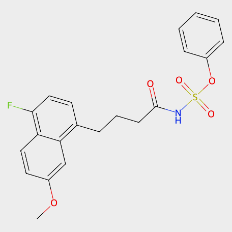 COc1ccc2c(F)ccc(CCCC(=O)NS(=O)(=O)Oc3ccccc3)c2c1